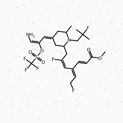 COC(=O)/C=C/C(=C/CF)/C=C(/F)CC1C/C(=C\C(=C/N)OS(=O)(=O)C(F)(F)F)CC(C)N1CC(C)(C)F